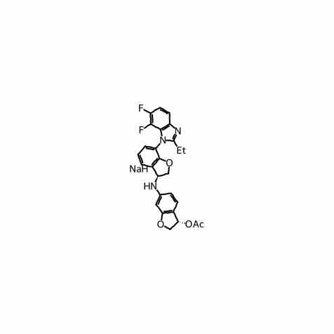 CCc1nc2ccc(F)c(F)c2n1-c1cccc2c1OC[C@H]2Nc1ccc2c(c1)OC[C@H]2OC(C)=O.[NaH]